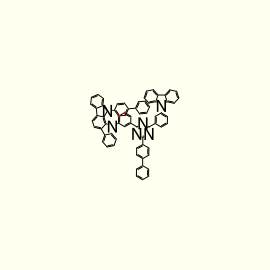 c1ccc(-c2ccc(-c3nc(-c4cccc(-n5c6ccccc6c6ccccc65)c4)nc(-c4cccc(-n5c6ccccc6c6ccc7c8ccccc8n(-c8ccc(-c9ccccc9)cc8)c7c65)c4)n3)cc2)cc1